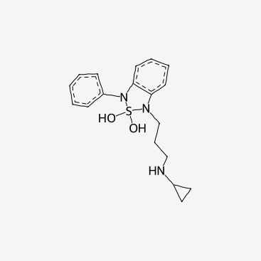 OS1(O)N(CCCNC2CC2)c2ccccc2N1c1ccccc1